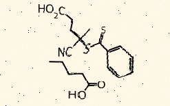 CC(C#N)(CCC(=O)O)SC(=S)c1ccccc1.CCCCC(=O)O